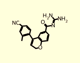 Cc1cc(C#N)ccc1C1=CCOc2ccc(C(=O)N=C(N)N)cc21